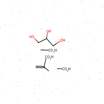 C=C(C)C(=O)O.CC(=O)O.CC(=O)O.OCC(O)CO